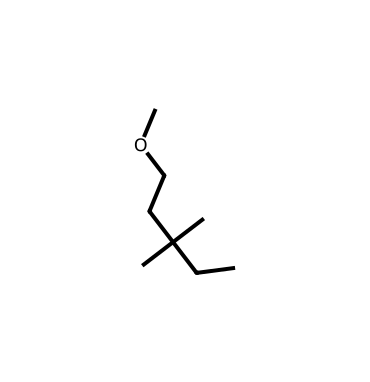 CCC(C)(C)CCOC